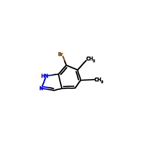 Cc1cc2cn[nH]c2c(Br)c1C